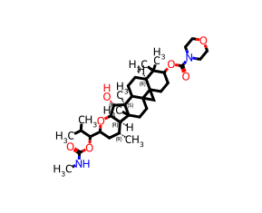 CNC(=O)OC(C(C)C)C1C[C@@H](C)[C@H]2C(O1)[C@H](O)[C@@]1(C)C3CC[C@H]4C(C)(C)C(OC(=O)N5CCOCC5)CCC45CC35CCC21C